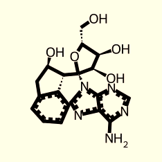 Nc1ncnc2c1ncn2[C@]1([C@@H]2c3ccccc3C[C@H]2O)O[C@H](CO)[C@@H](O)[C@H]1O